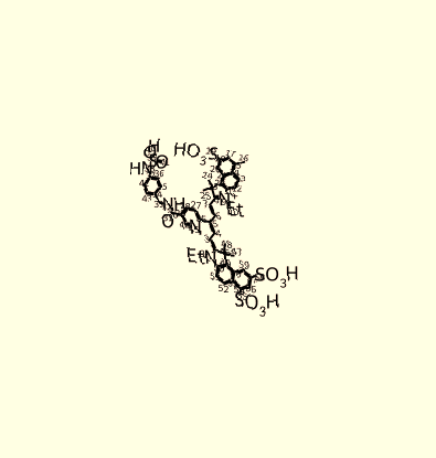 CCN1/C(=C/C=C(/C=C/C2=[N+](CC)c3ccc4c(C)cc(S(=O)(=O)O)cc4c3C2(C)C)c2ccc(C(=O)NCc3ccc(N[SH](=O)=O)cc3)cn2)C(C)(C)c2c1ccc1c(S(=O)(=O)O)cc(S(=O)(=O)O)cc21